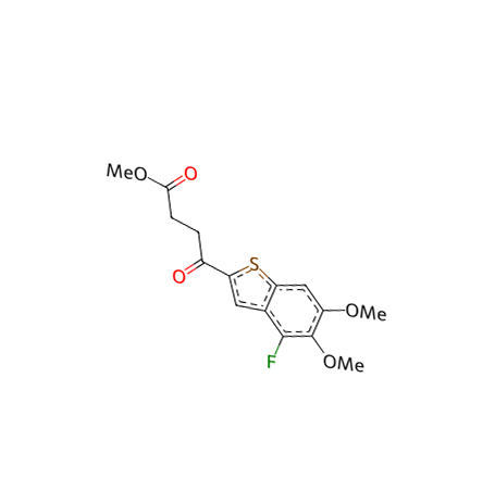 COC(=O)CCC(=O)c1cc2c(F)c(OC)c(OC)cc2s1